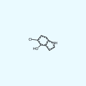 Oc1c(Cl)ccc2[nH]ccc12